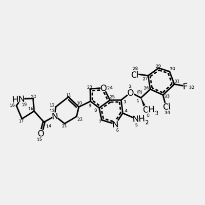 C[C@@H](Oc1c(N)ncc2c(C3=CCN(C(=O)C4CCNC4)CC3)coc12)c1c(Cl)ccc(F)c1Cl